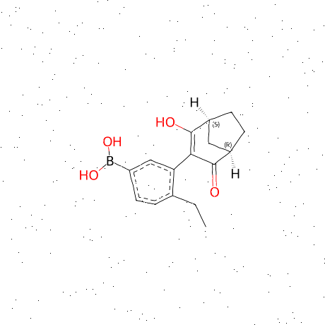 CCc1ccc(B(O)O)cc1C1=C(O)[C@H]2CC[C@H](C2)C1=O